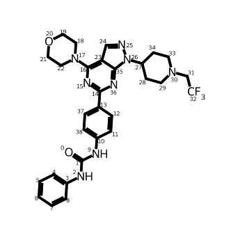 O=C(Nc1ccccc1)Nc1ccc(-c2nc(N3CCOCC3)c3cnn(C4CCN(CC(F)(F)F)CC4)c3n2)cc1